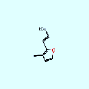 Cc1ccoc1/C=C/C(C)(C)C